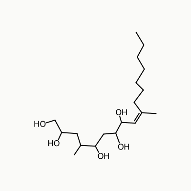 CCCCCCC/C(C)=C\C(O)C(O)CC(O)C(C)CC(O)CO